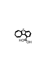 OB(O)c1cccc2sc3c(c12)C=CCC=C3